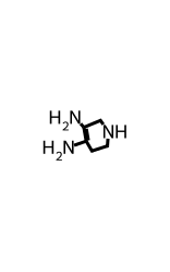 NC1=C(N)CNCC1